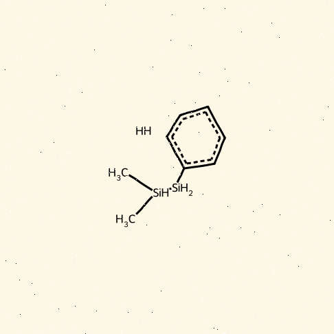 C[SiH](C)[SiH2]c1ccccc1.[HH]